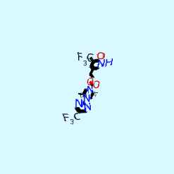 C[C@@H]1CN(c2ncc(C(F)(F)F)cn2)[C@@H](C)CN1C(=O)OCCc1c[nH]c(=O)c(C(F)(F)F)c1